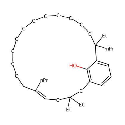 CCC/C1=C\CC(CC)(CC)Cc2cccc(c2O)C(CC)(CCC)CCCCCCCCCCCC1